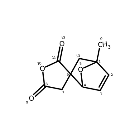 CC12C=CC(O1)C1(CC(=O)OC1=O)C2